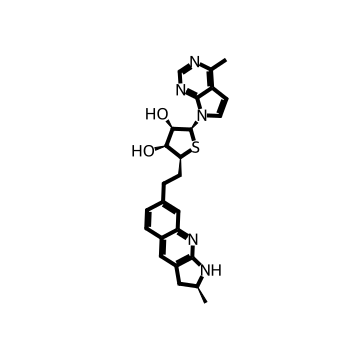 Cc1ncnc2c1ccn2[C@H]1S[C@@H](CCc2ccc3cc4c(nc3c2)N[C@@H](C)C4)[C@@H](O)[C@H]1O